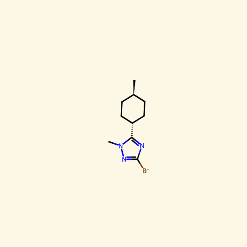 Cn1nc(Br)nc1[C@H]1CC[C@H](C)CC1